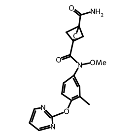 CON(C(=O)C12CC(C(N)=O)(C1)C2)c1ccc(Oc2ncccn2)c(C)c1